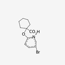 O=C(O)C1(Oc2ccc(Br)cn2)CCCCC1